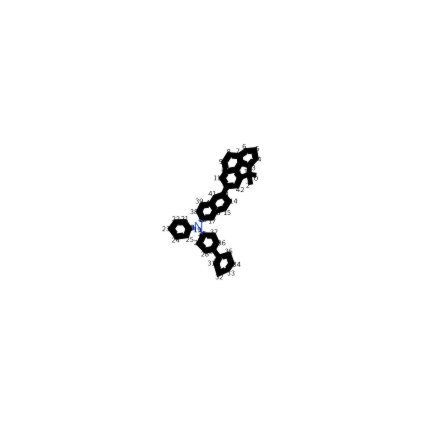 CC1(C)c2cccc3ccc4cc(-c5ccc6cc(N(c7ccccc7)c7ccc(-c8ccccc8)cc7)ccc6c5)cc1c4c23